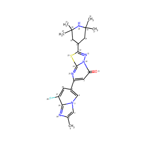 Cc1cn2cc(-c3cc(=O)n4nc(C5CC(C)(C)NC(C)(C)C5)sc4n3)cc(F)c2n1